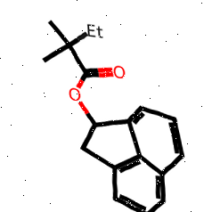 CCC(C)(C)C(=O)OC1Cc2cccc3cccc1c23